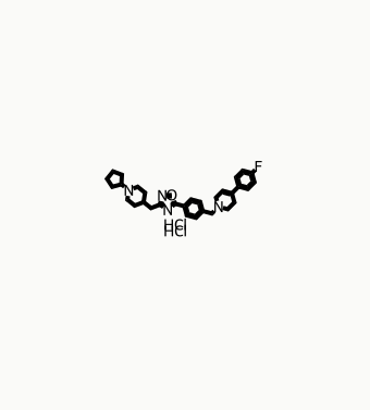 Cl.Cl.Fc1ccc(C2=CCN(Cc3ccc(-c4nc(CC5CCN(C6CCCC6)CC5)no4)cc3)CC2)cc1